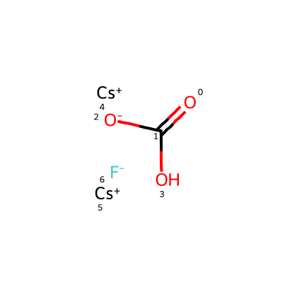 O=C([O-])O.[Cs+].[Cs+].[F-]